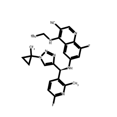 Cc1nc(F)ccc1[C@H](Nc1cc(F)c2ncc(C#N)c(NCC(C)(C)C)c2c1)c1cn(C2(C(F)(F)F)CC2)nn1